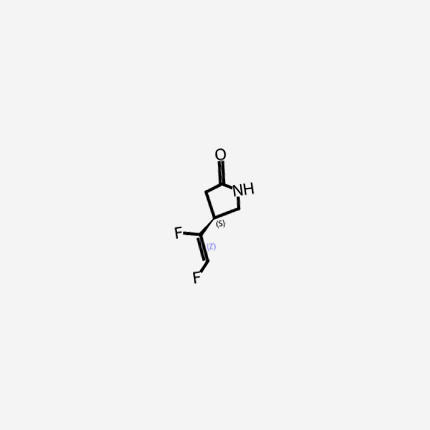 O=C1C[C@H](/C(F)=C/F)CN1